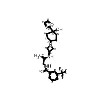 C=C(CNC(=O)c1cccc(C(F)(F)F)c1)NC1CN(C2CCC(O)(c3ncco3)CC2)C1